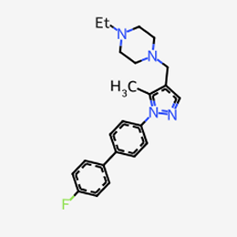 CCN1CCN(Cc2cnn(-c3ccc(-c4ccc(F)cc4)cc3)c2C)CC1